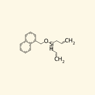 C=CC[SiH](CC=C)OCc1cccc2ccccc12